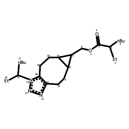 CCCCC(CC)C(=O)OCC1C2CCc3nnn(C(CC)CCCC)c3CCC21